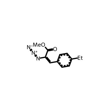 CCc1ccc(/C=C(/N=[N+]=[N-])C(=O)OC)cc1